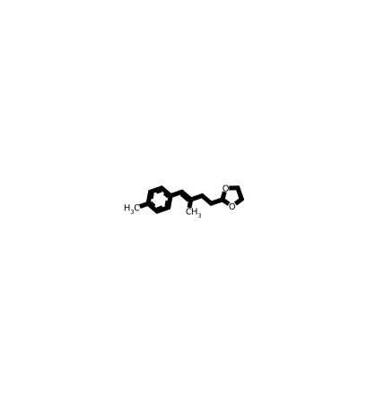 C/C(=C\c1ccc(C)cc1)CCC1OCCO1